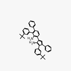 CC(C)(C)c1cccc(C2=C(N)C(c3ccc(-c4ccccc4)c(-c4cccc(C(C)(C)C)c4)c3N)=C=C2c2ccccc2)c1